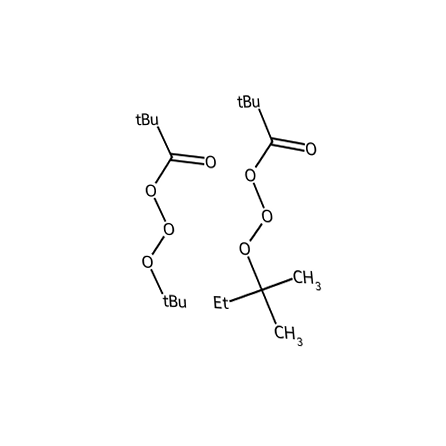 CC(C)(C)OOOC(=O)C(C)(C)C.CCC(C)(C)OOOC(=O)C(C)(C)C